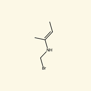 C/C=C(\C)NCBr